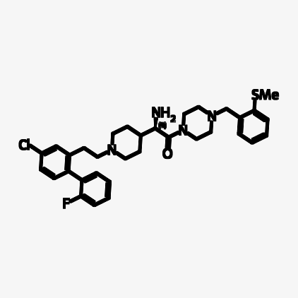 CSc1ccccc1CN1CCN(C(=O)[C@H](N)C2CCN(CCc3cc(Cl)ccc3-c3ccccc3F)CC2)CC1